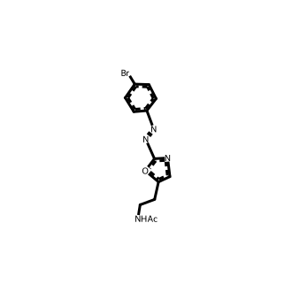 CC(=O)NCCc1cnc(N=Nc2ccc(Br)cc2)o1